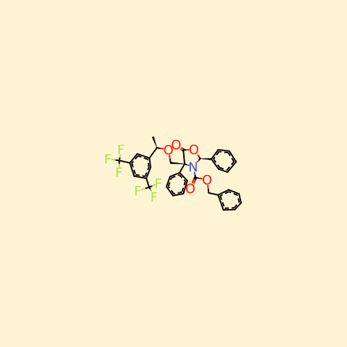 C[C@@H](OC[C@@]1(c2ccccc2)C(=O)O[C@@H](c2ccccc2)N1C(=O)OCc1ccccc1)c1cc(C(F)(F)F)cc(C(F)(F)F)c1